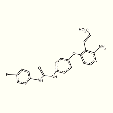 Nc1nccc(Oc2ccc(NC(=O)Nc3ccc(F)cc3)cc2)c1/C=C/C(=O)O